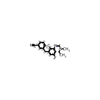 CCN(C)/C=N\c1cc(F)cc(Cc2cccc(C#N)c2)c1C